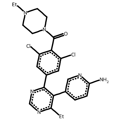 CCc1ncnc(-c2cc(Cl)c(C(=O)N3CCN(CC)CC3)c(Cl)c2)c1-c1ccc(N)nc1